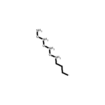 [CH2]CCC[SiH2]O[SiH2]O[SiH2]O[SiH3]